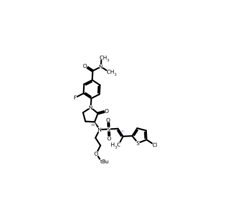 C/C(=C\S(=O)(=O)N(CCOC(C)(C)C)[C@H]1CCN(c2ccc(C(=O)N(C)C)cc2F)C1=O)c1ccc(Cl)s1